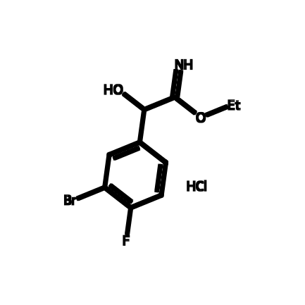 CCOC(=N)C(O)c1ccc(F)c(Br)c1.Cl